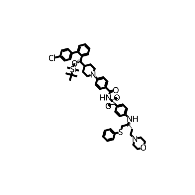 CC(C)(C)[Si](C)(C)O[C@@H](c1ccccc1-c1ccc(Cl)cc1)C1CCN(c2ccc(C(=O)NS(=O)(=O)c3ccc(N[C@H](CCN4CCOCC4)CSc4ccccc4)cc3)cc2)CC1